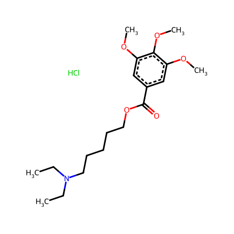 CCN(CC)CCCCCOC(=O)c1cc(OC)c(OC)c(OC)c1.Cl